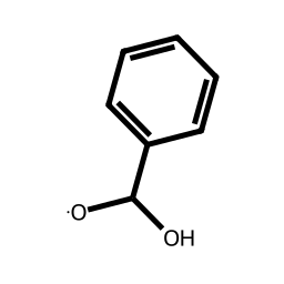 [O]C(O)c1ccccc1